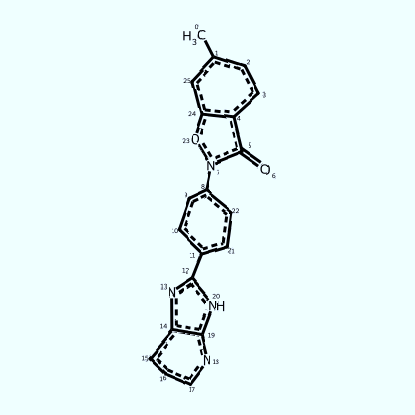 Cc1ccc2c(=O)n(-c3ccc(-c4nc5cccnc5[nH]4)cc3)oc2c1